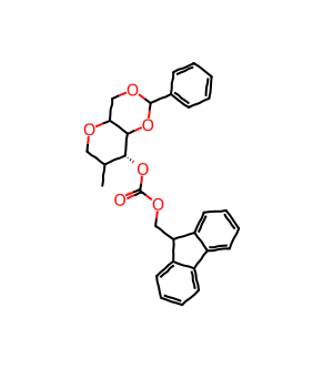 CC1COC2COC(c3ccccc3)OC2[C@@H]1OC(=O)OCC1c2ccccc2-c2ccccc21